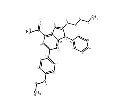 CCCCSc1nc2c(C(N)=O)nc(-c3ccc(OCC)cc3)nc2n1-c1ccccc1